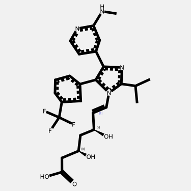 CNc1cc(-c2nc(C(C)C)n(/C=C/[C@@H](O)C[C@@H](O)CC(=O)O)c2-c2cccc(C(F)(F)F)c2)ccn1